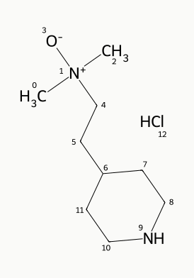 C[N+](C)([O-])CCC1CCNCC1.Cl